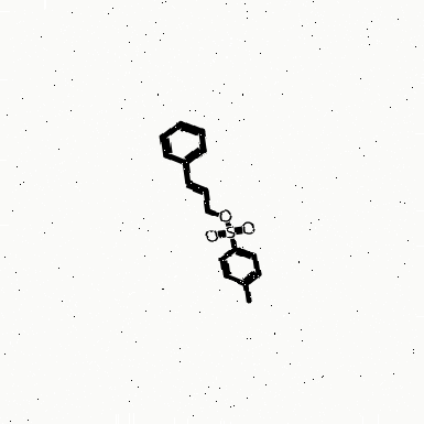 Cc1ccc(S(=O)(=O)OCC=Cc2ccccc2)cc1